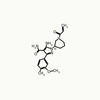 C=CC(=O)N1CCC[C@@H](n2nc(-c3ccc(C)c(OC)c3)c(C(N)=O)c2N)C1